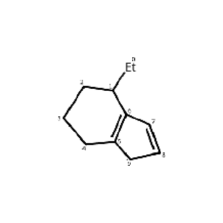 CCC1CCCC2=C1C=C[CH]2